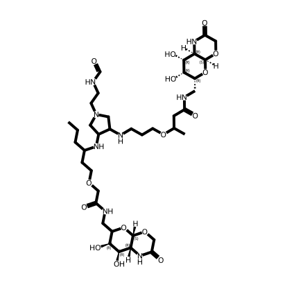 CCCC(CCOCC(=O)NCC1O[C@@H]2OCC(=O)N[C@@H]2[C@@H](O)[C@H]1O)NC1CN(CCNC=O)CC1NCCCOC(C)CC(=O)NC[C@H]1O[C@@H]2OCC(=O)N[C@@H]2[C@@H](O)[C@H]1O